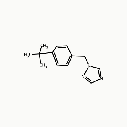 CC(C)(C)c1ccc(Cn2cncn2)cc1